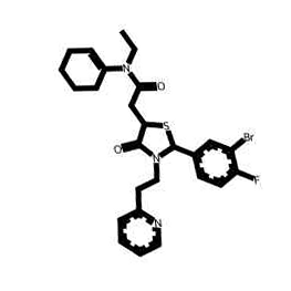 CCN(C(=O)CC1SC(c2ccc(F)c(Br)c2)N(CCc2ccccn2)C1=O)C1=CCCCC1